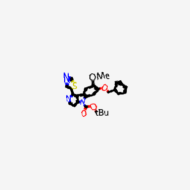 COc1cc2c3c(-c4cncs4)nccc3n(C(=O)OC(C)(C)C)c2cc1OCc1ccccc1